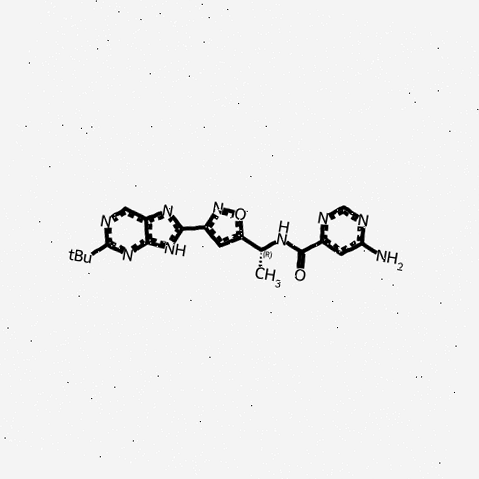 C[C@@H](NC(=O)c1cc(N)ncn1)c1cc(-c2nc3cnc(C(C)(C)C)nc3[nH]2)no1